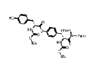 CCCCCN(CCCCC)C(=O)[C@@H](Cc1ccc(OC(=O)[C@@H](Cc2ccc(O)cc2)NC(=O)OC(C)(C)C)cc1)NC(=O)OC(C)(C)C